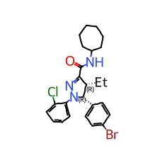 CC[C@H]1C(C(=O)NC2CCCCCC2)=NN(c2ccccc2Cl)[C@H]1c1ccc(Br)cc1